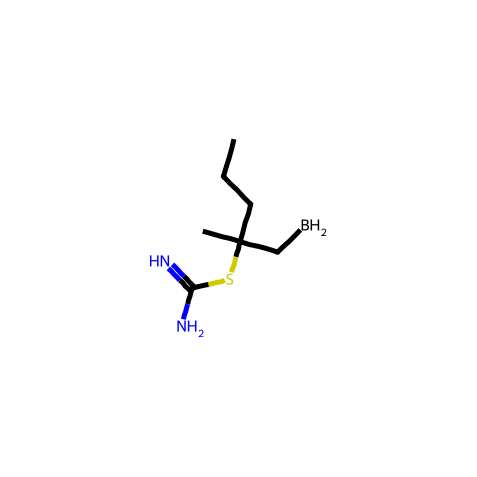 BCC(C)(CCC)SC(=N)N